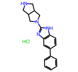 Cl.c1ccc(-c2ccc3[nH]c(N4CC5CNCC5C4)nc3c2)cc1